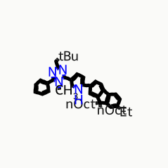 CCCCCCCCC1(CCCCCCCC)c2cc(CC)ccc2-c2ccc(C3=CC=C(C4N=C(CC(C)(C)C)N=C(c5ccccc5)N4C)CN3)cc21